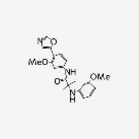 COc1cccc(NC(C)(C)C(=O)Nc2ccc(-c3cnco3)c(OC)c2)c1